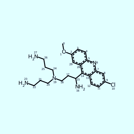 COc1ccc2nc3cc(Cl)ccc3c(C(N)CCN(CCCN)CCCN)c2c1